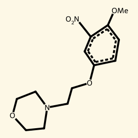 COc1ccc(OCCN2CCOCC2)cc1[N+](=O)[O-]